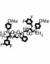 COc1ccc(N(C)C(=O)[C@H](Cc2cc(F)cc(F)c2)NC(=O)Cn2c(=O)n(CC(=O)N[C@H](C(=O)N(C)c3ccc(OC)cc3)[C@H](C)c3cc(F)cc(F)c3)c3ccccc32)cc1